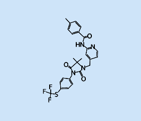 Cc1ccc(C(=O)Nc2cc(CN3C(=O)N(c4ccc(SC(F)(F)F)cc4)C(=O)C3(C)C)ccn2)cc1